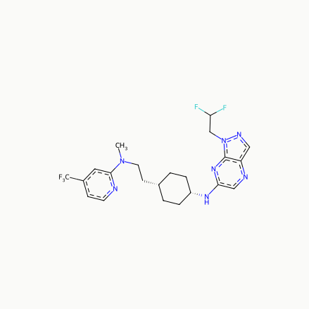 CN(CC[C@H]1CC[C@@H](Nc2cnc3cnn(CC(F)F)c3n2)CC1)c1cc(C(F)(F)F)ccn1